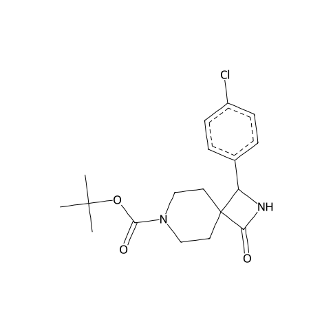 CC(C)(C)OC(=O)N1CCC2(CC1)C(=O)NC2c1ccc(Cl)cc1